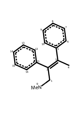 CNC/C(=C(\C)c1ccccc1)c1ccccc1